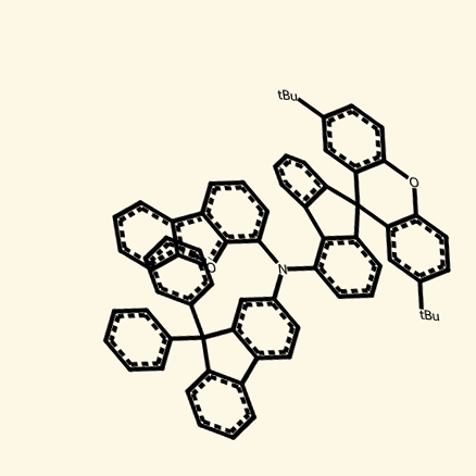 CC(C)(C)c1ccc2c(c1)C1(c3cc(C(C)(C)C)ccc3O2)c2ccccc2-c2c(N(c3ccc4c(c3)C(c3ccccc3)(c3ccccc3)c3ccccc3-4)c3cccc4c3oc3ccccc34)cccc21